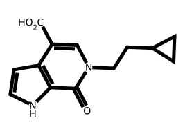 O=C(O)c1cn(CCC2CC2)c(=O)c2[nH]ccc12